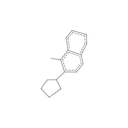 Cc1c(C2CCCC2)ccc2ccccc12